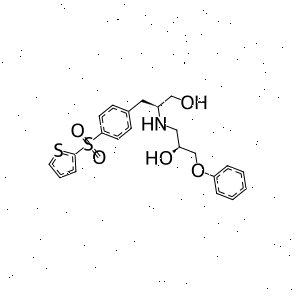 O=S(=O)(c1ccc(C[C@@H](CO)NC[C@H](O)COc2ccccc2)cc1)c1cccs1